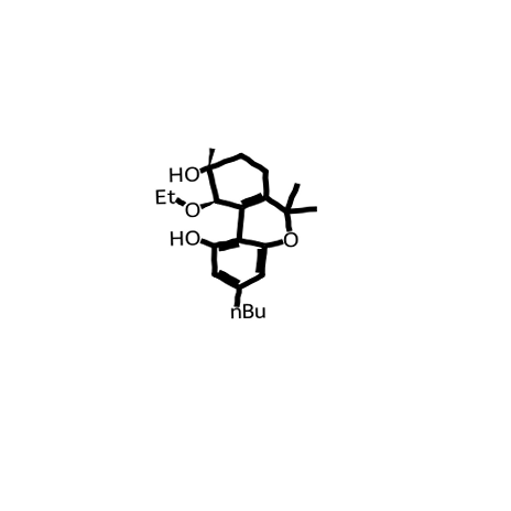 CCCCc1cc(O)c2c(c1)OC(C)(C)C1=C2[C@@H](OCC)[C@](C)(O)CC1